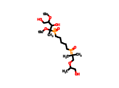 CC(CO)OCC(C)(C)[PH](=O)CCCCC[PH](=O)C(C)(OC(C)(C)C)C(O)C(CO)OC(C)(C)C